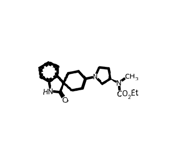 CCOC(=O)N(C)[C@@H]1CCN(C2CCC3(CC2)C(=O)Nc2ccccc23)C1